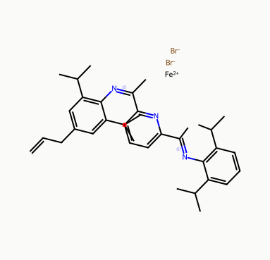 C=CCc1cc(C(C)C)c(/N=C(/C)c2cccc(/C(C)=N/c3c(C(C)C)cccc3C(C)C)n2)c(C(C)C)c1.[Br-].[Br-].[Fe+2]